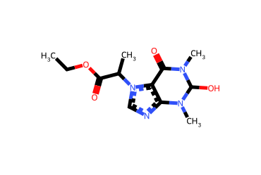 CCOC(=O)C(C)n1cnc2c1C(=O)N(C)C(O)N2C